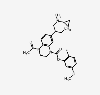 CCC(CN(C)C1CC1)c1ccc2c(c1)N(C(=O)Oc1cc(OC)ccc1F)CCN2C(C)=O